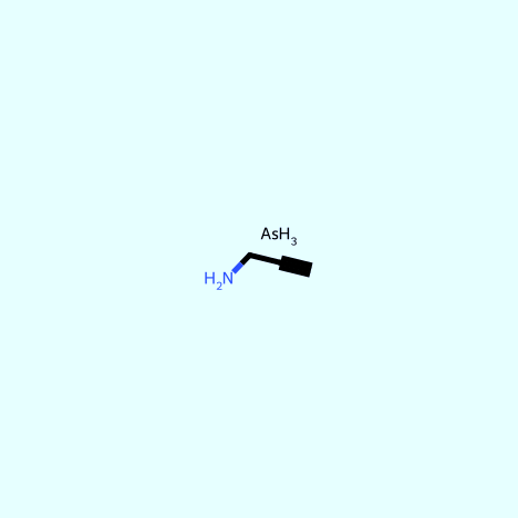 C#CCN.[AsH3]